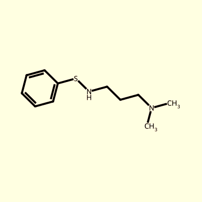 CN(C)CCCNSc1ccccc1